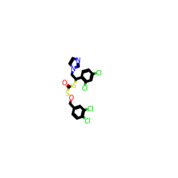 O=C(SOCc1ccc(Cl)c(Cl)c1)SC(Cn1ccnc1)c1ccc(Cl)cc1Cl